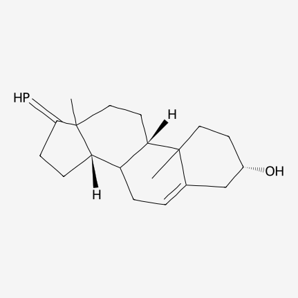 CC12CC[C@H]3C(CC=C4C[C@@H](O)CCC43C)[C@@H]1CCC2=P